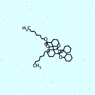 CCCCCCOC(=O)C1CCCCC1(C(=O)OCCCCCC)C1(C(=O)OC2CCCCC2)CCCCC1C(=O)OC1CCCCC1